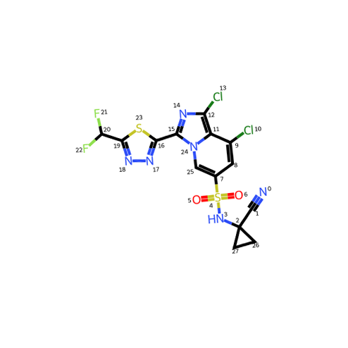 N#CC1(NS(=O)(=O)c2cc(Cl)c3c(Cl)nc(-c4nnc(C(F)F)s4)n3c2)CC1